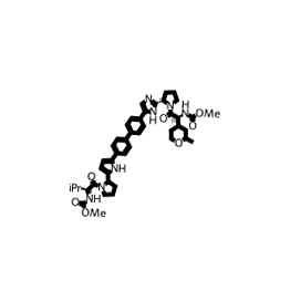 COC(=O)N[C@H](C(=O)N1CCCC1c1ccc(-c2ccc(-c3ccc(-c4cnc([C@@H]5CCCN5C(=O)[C@@H](NC(=O)OC)C5CCOC(C)C5)[nH]4)cc3)cc2)[nH]1)C(C)C